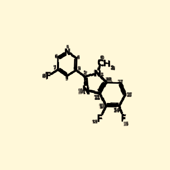 Cn1c(-c2cncc(F)c2)nc2c(F)c(F)ccc21